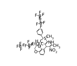 CCOC(=O)C1=C([S+](C)C(C)c2ccccc2)NC(C)=C([N+](=O)[O-])C1c1cccc2c1OCCO2.F[B-](F)(F)F.F[B-](F)(F)F.F[B-](F)(F)F.F[B-](F)(F)F